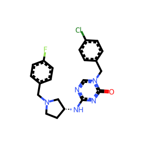 O=c1nc(N[C@@H]2CCN(Cc3ccc(F)cc3)C2)ncn1Cc1ccc(Cl)cc1